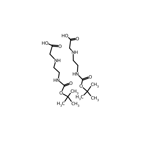 CC(C)(C)OC(=O)NCCNCC(=O)O.CC(C)(C)OC(=O)NCCNCC(=O)O